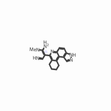 CN/C(N)=C(\C=N)c1nc2ccc3[nH]ncc3c2c2c1CCCC2